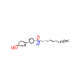 CCCCCCCCCCCCCCCCCCNC(=O)c1ccc(-c2ccc(O)cc2)cc1